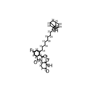 O=C1CCC(N2C(=O)c3cc(F)cc(CCCCCCCCNC45CC6CC(CC(C6)C4)C5)c3C2=O)C(=O)N1